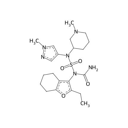 CCc1oc2c(c1N(C(N)=O)S(=O)(=O)N(c1cnn(C)c1)C1CCCN(C)C1)CCCC2